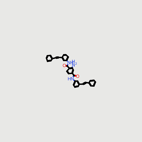 Nc1cc(C(=O)Nc2cccc(C#Cc3ccccc3)c2)ccc1C(=O)Nc1cccc(C#Cc2ccccc2)c1